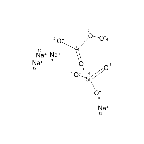 O=C([O-])O[O-].O=[Si]([O-])[O-].[Na+].[Na+].[Na+].[Na+]